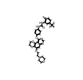 O=C(Nc1ccc(Oc2ncnc3cc(OCCN4CCOCC4)c4c(c23)OCCO4)cc1)Nc1cc(C(F)(F)F)ccc1F